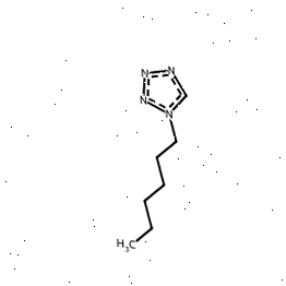 CCCCCCn1cnnn1